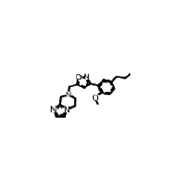 CCCc1ccc(OC)c(-c2cc(CN3CCn4ccnc4C3)on2)c1